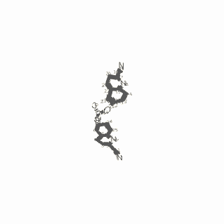 N#Cc1ccc2cc(O[PH](=O)Oc3ccc4nc(C#N)ccc4c3)ccc2n1